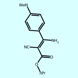 CCCOC(=O)/C(C#N)=C(\N)c1ccc(NC)cc1